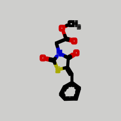 COC(=O)CN1C(=O)S/C(=C\c2ccccc2)C1=O